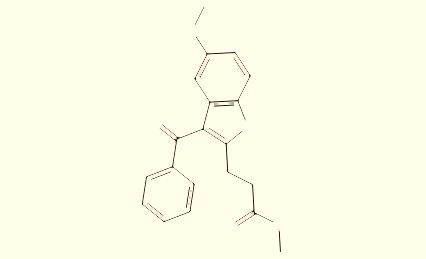 COC(=O)CCc1oc2ccc(OC)cc2c1C(=O)c1ccccc1